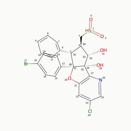 O=[SH](=O)C[C@@H]1[C@@H](c2ccccc2)[C@]2(c3ccc(Br)cc3)Oc3cc(Cl)cnc3[C@]2(O)[C@H]1O